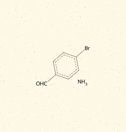 N.O=Cc1ccc(Br)cc1